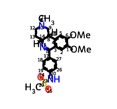 COc1cc2c(cc1OC)[C@H]1CN(C)CC[C@H]1N=C2c1ccc(NS(C)(=O)=O)cc1